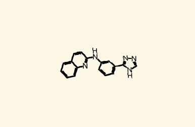 c1cc(Nc2ccc3ccccc3n2)cc(-c2nnc[nH]2)c1